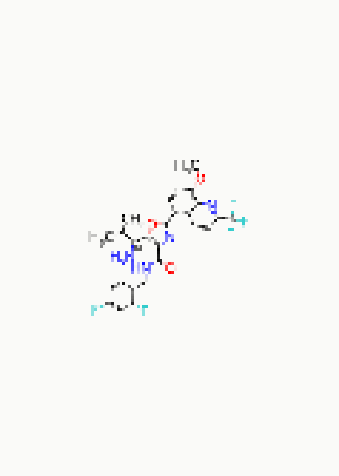 COc1ccc(-c2nc(C(=O)NCc3ccc(F)cc3F)c([C@@H](N)C(C)C)o2)c2ccc(C(F)(F)F)nc12